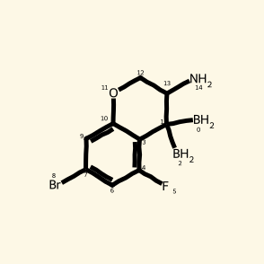 BC1(B)c2c(F)cc(Br)cc2OCC1N